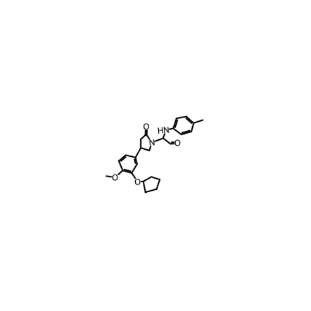 COc1ccc(C2CC(=O)N(C(C=O)Nc3ccc(C)cc3)C2)cc1OC1CCCC1